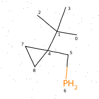 CC(C)(C)C1(CP)CC1